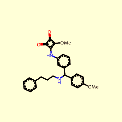 COc1ccc(C(NCCCc2ccccc2)c2cccc(Nc3c(OC)c(=O)c3=O)c2)cc1